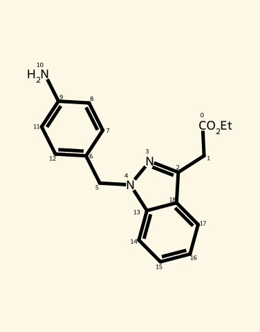 CCOC(=O)Cc1nn(Cc2ccc(N)cc2)c2ccccc12